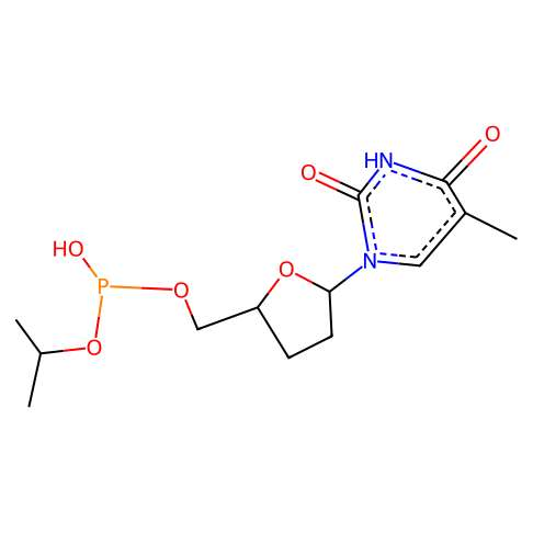 Cc1cn(C2CCC(COP(O)OC(C)C)O2)c(=O)[nH]c1=O